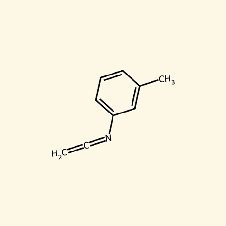 C=C=Nc1cccc(C)c1